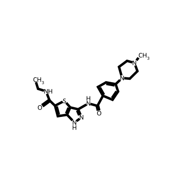 CCNC(=O)c1cc2[nH]nc(NC(=O)c3ccc(N4CCN(C)CC4)cc3)c2s1